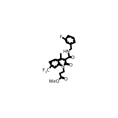 COC(=O)CCn1c(=O)c(C(=O)NCc2cccc(F)c2)c(C)c2ccc(C(F)(F)F)cc21